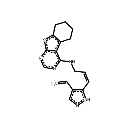 C=Cc1cn[nH]c1/C=C\CNc1ncnc2sc3c(c12)CCCC3